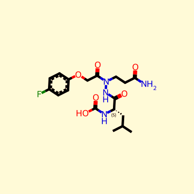 CC(C)C[C@H](NC(=O)O)C(=O)NN(CCC(N)=O)C(=O)COc1ccc(F)cc1